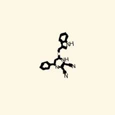 N#CC1=C(C#N)NC(=C=Cc2c[nH]c3ccccc23)CC(c2ccccc2)=N1